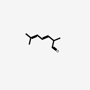 CC(C)=CC=CC(C)C=O